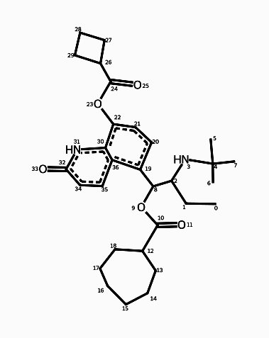 CCC(NC(C)(C)C)C(OC(=O)C1CCCCCC1)c1ccc(OC(=O)C2CCC2)c2[nH]c(=O)ccc12